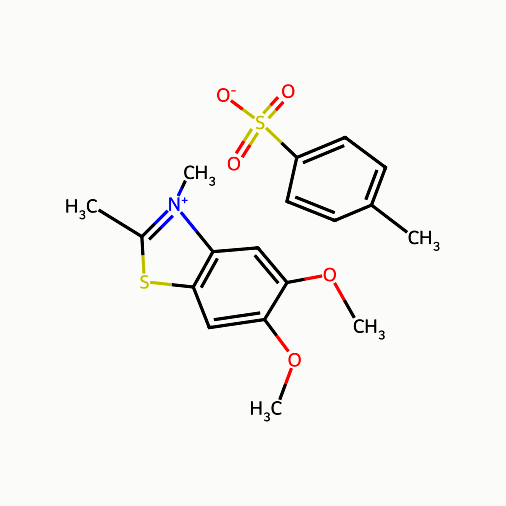 COc1cc2sc(C)[n+](C)c2cc1OC.Cc1ccc(S(=O)(=O)[O-])cc1